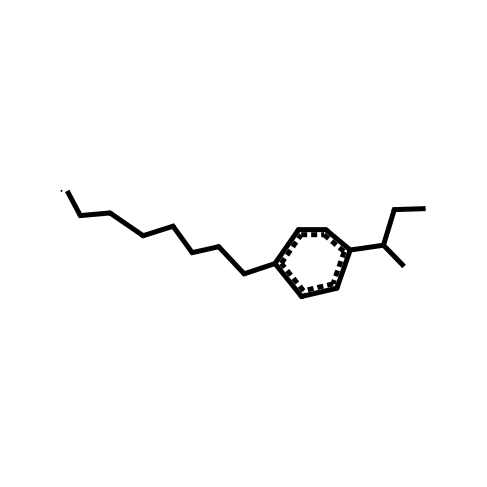 [CH2]CCCCCCCc1ccc(C(C)CC)cc1